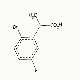 CC(C(=O)O)c1cc(F)ccc1Br